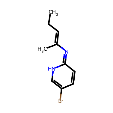 CC/C=C(C)/N=c1/ccc(Br)c[nH]1